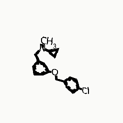 CN(Cc1cccc(OCc2ccc(Cl)cc2)c1)C1CC1